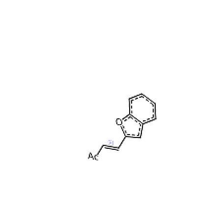 CC(=O)/C=C/c1cc2ccccc2o1